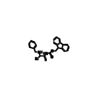 CCC(NCc1ccccc1)C(=S)NC(=O)OCC1c2ccccc2-c2ccccc21